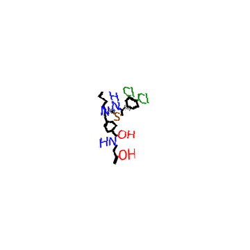 C=C(O)CCNC(O)C1CC=C(CN(CCCC)[C@@H]2NC([C@@H]3C=CC(Cl)=C(Cl)C3)CS2)CC1